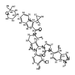 C[C@H]1c2c(nn(-c3ccc(F)c(Cl)c3)c2-n2ccn(-c3ccc4c(cnn4C)c3F)c2=O)CCN1C(=O)c1cc2cc([C@@H]3CCOC(C)(C)C3)ccn2c1C1(C)CC1